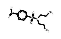 CCCN(CCC)S(=O)(=O)c1ccc([N+](=O)[O-])cc1